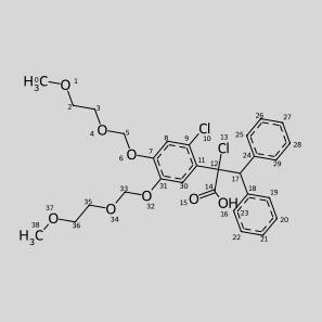 COCCOCOc1cc(Cl)c(C(Cl)(C(=O)O)C(c2ccccc2)c2ccccc2)cc1OCOCCOC